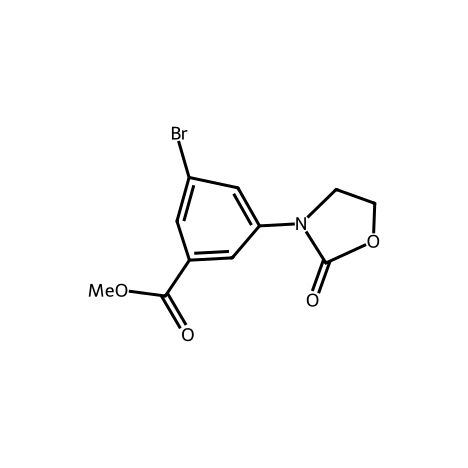 COC(=O)c1cc(Br)cc(N2CCOC2=O)c1